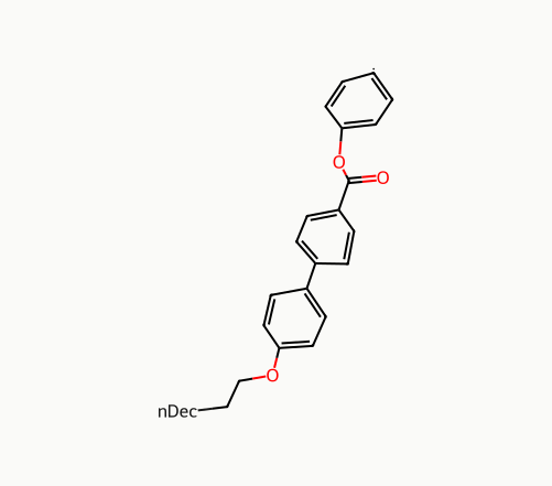 CCCCCCCCCCCCOc1ccc(-c2ccc(C(=O)Oc3cc[c]cc3)cc2)cc1